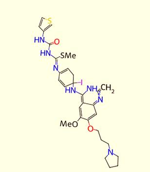 C=C/N=C1/C=C(OCCCN2CCCC2)C(OC)=C/C1=C(/N)NC1(I)C=CC(/N=C(/NC(=O)Nc2ccsc2)SC)=CC1